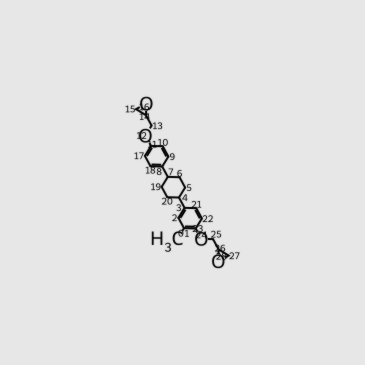 Cc1cc(C2CCC(c3ccc(OCC4CO4)cc3)CC2)ccc1OCC1CO1